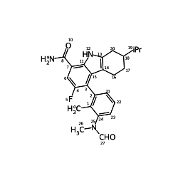 Cc1c(-c2c(F)cc(C(N)=O)c3[nH]c4c(c23)CCC(C(C)C)C4)cccc1N(C)C=O